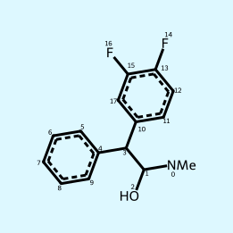 CNC(O)C(c1ccccc1)c1ccc(F)c(F)c1